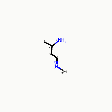 CC/N=C/CC(C)N